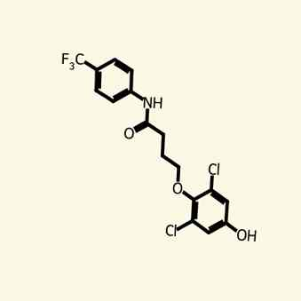 O=C(CCCOc1c(Cl)cc(O)cc1Cl)Nc1ccc(C(F)(F)F)cc1